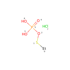 CCSOP(=O)(O)O.Cl